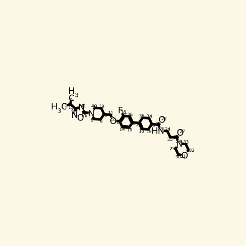 CC(C)c1noc(N2CCC(COc3ccc(C4=CCC(C(=O)NCCC(=O)N5CCOCC5)CC4)cc3F)CC2)n1